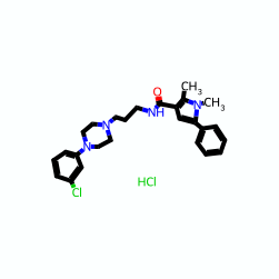 Cc1c(C(=O)NCCCN2CCN(c3cccc(Cl)c3)CC2)cc(-c2ccccc2)n1C.Cl